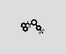 C[C@@H](NC1CCCCC(c2ccc(S(C)(=O)=O)cc2)C1)c1cccc2ccccc12